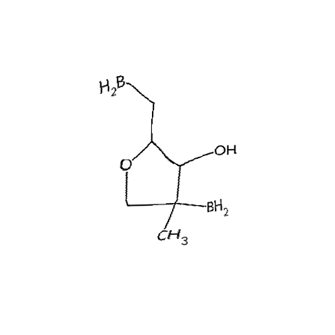 BCC1OCC(B)(C)C1O